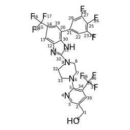 OCc1cnc(N2CCN(c3nc4cc(C(F)(F)F)cc(-c5cc(F)c(F)c(F)c5)c4[nH]3)CC2)c(C(F)(F)F)c1